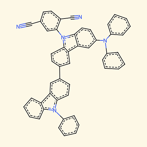 N#Cc1ccc(C#N)c(-n2c3ccc(-c4ccc5c(c4)c4ccccc4n5-c4ccccc4)cc3c3cc(N(c4ccccc4)c4ccccc4)ccc32)c1